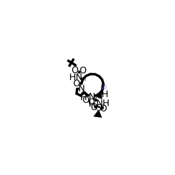 CC(C)(C)COC(=O)N[C@H]1CCCCC/C=C\[C@@H]2C[C@@]2(C(=O)NS(=O)(=O)C2CC2)NC(=O)[C@@H]2CCCN2C1=O